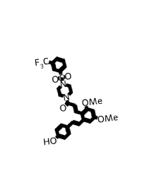 COc1cc(/C=C/c2ccc(O)cc2)c(/C=C/C(=O)N2CCN(S(=O)(=O)c3cccc(C(F)(F)F)c3)CC2)c(OC)c1